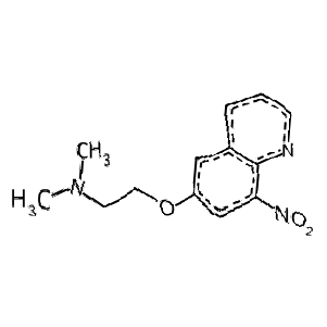 CN(C)CCOc1cc([N+](=O)[O-])c2ncccc2c1